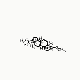 COC1C2[C@H]3CC[C@@H]4[C@H](CC[C@]5(C)[C@@H](C(C)O)CC[C@@H]45)[C@H]3CC[C@]12O